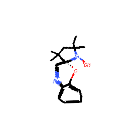 CC1(C)CC(C)(C)[C@]2(C=Nc3ccccc3O2)N1O